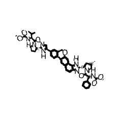 COC(=O)NC(C(=O)N1CCC[C@H]1c1ncc(-c2ccc3c(c2)COc2cc4c(ccc5nc([C@@H]6C[C@H](C)CN6C(=O)[C@H](NC(=O)OC)c6ccccc6)[nH]c54)cc2-3)[nH]1)C(C)C